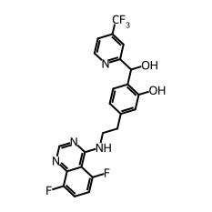 Oc1cc(CCNc2ncnc3c(F)ccc(F)c23)ccc1C(O)c1cc(C(F)(F)F)ccn1